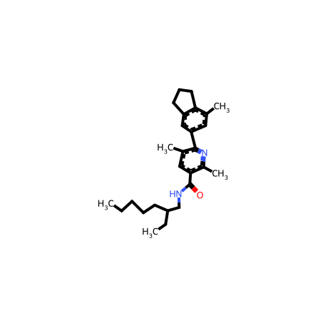 CCCCCC(CC)CNC(=O)c1cc(C)c(-c2cc(C)c3c(c2)CCC3)nc1C